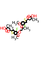 COc1cc2sc(C(=O)CC(C)C(=O)O)cc2c(F)c1OCCC(C)Oc1c(OC)cc2sc(C(=O)CC(C)C(=O)O)cc2c1F